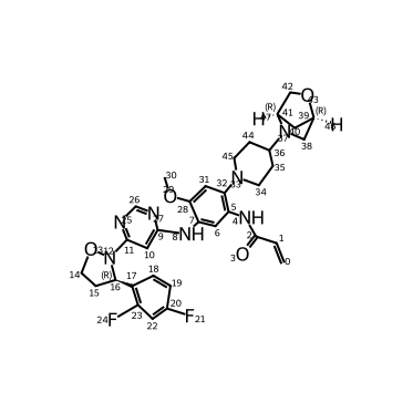 C=CC(=O)Nc1cc(Nc2cc(N3OCC[C@@H]3c3ccc(F)cc3F)ncn2)c(OC)cc1N1CCC(N2C[C@H]3C[C@@H]2CO3)CC1